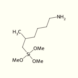 CO[Si](CC(C)CCCCN)(OC)OC